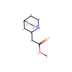 COC(=O)CC1CC2CCN1CC2